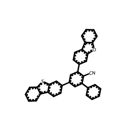 N#Cc1c(-c2ccccc2)cc(-c2ccc3c(c2)sc2ccccc23)cc1-c1ccc2c(c1)oc1ccccc12